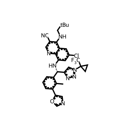 Cc1c(-c2cnco2)cccc1[C@H](Nc1cc(Cl)cc2c(NCC(C)(C)C)c(C#N)cnc12)c1cn(C2(C(F)(F)F)CC2)nn1